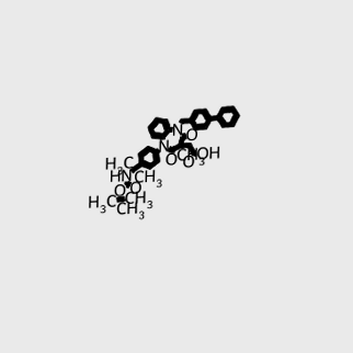 CC(C)(C)OC(=O)NC(C)(C)c1ccc(N2C(=O)C(C)(CC(=O)O)C(=O)N(Cc3ccc(-c4ccccc4)cc3)c3ccccc32)cc1